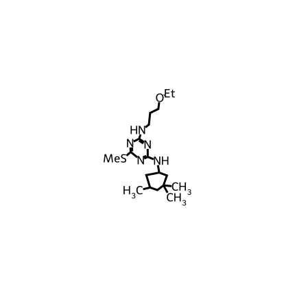 CCOCCCNc1nc(NC2CC(C)CC(C)(C)C2)nc(SC)n1